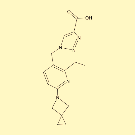 CCc1nc(N2CC3(CC3)C2)ccc1Cn1cc(C(=O)O)nn1